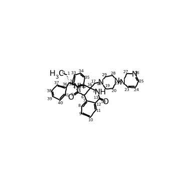 CC[C@H](NC(=O)C1c2ccccc2C(=O)NC1(CN1CCN(N2C=CC=NC2)CC1)c1ccccc1)c1ccccc1